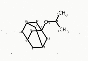 CC(C)OC12CC3CC(CC(C3)C1)C2